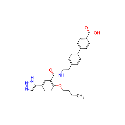 CCCCOc1ccc(-c2cnn[nH]2)cc1C(=O)NCCc1ccc(-c2ccc(C(=O)O)cc2)cc1